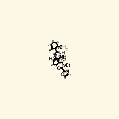 BC1=C(C(=N)/C=C2\C(=N)C3(CN(CC)C(=O)c4ncco4)CC[C@@H]2C3(C)C)C(F)=CCC1